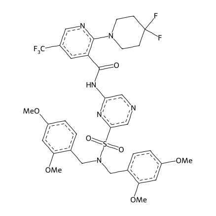 COc1ccc(CN(Cc2ccc(OC)cc2OC)S(=O)(=O)c2cncc(NC(=O)c3cc(C(F)(F)F)cnc3N3CCC(F)(F)CC3)n2)c(OC)c1